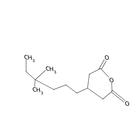 CCC(C)(C)CCCC1CC(=O)OC(=O)C1